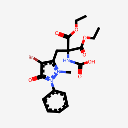 CCOC(=O)C(Cc1c(Br)c(=O)n(-c2ccccc2)n1C)(NC(=O)O)C(=O)OCC